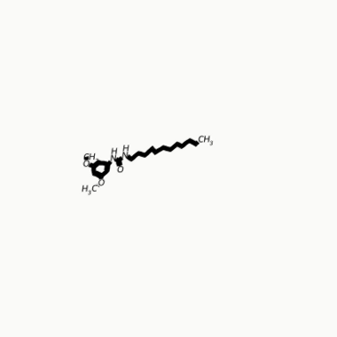 CCCCCCCCCCCCNC(=O)Nc1cc(OC)cc(OC)c1